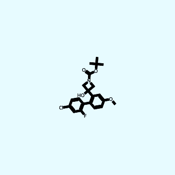 COc1ccc(-c2ccc(Cl)cc2F)c(C2(O)CN(C(=O)OC(C)(C)C)C2)c1